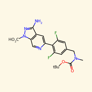 CN(Cc1cc(F)c(-c2cc3c(N)nn(C(=O)O)c3cn2)c(F)c1)C(=O)OC(C)(C)C